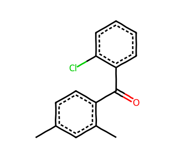 Cc1ccc(C(=O)c2ccccc2Cl)c(C)c1